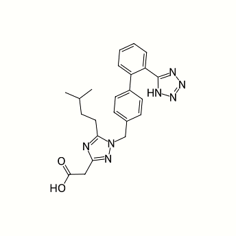 CC(C)CCc1nc(CC(=O)O)nn1Cc1ccc(-c2ccccc2-c2nnn[nH]2)cc1